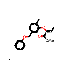 C/C=C(\Oc1cc(COc2ccccc2)ccc1C)C(=O)OC